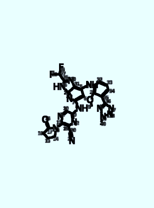 COc1c(Nc2cc(Nc3cnc(N4CCCC4=O)c(C#N)n3)nc3[nH]c(C(F)F)nc23)cccc1-c1nnn(C)n1